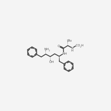 CC(C)(C)[C@H](NC(=O)O)C(=O)N[C@@H](Cc1ccccc1)C[C@H](O)[C@@H](N)Cc1ccccc1